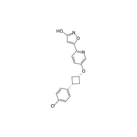 Oc1cc(-c2ccc(O[C@H]3C[C@@H](c4ccc(Cl)cc4)C3)cn2)on1